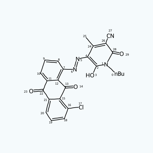 CCCCn1c(O)c(/N=N/c2cccc3c2C(=O)c2c(Cl)cccc2C3=O)c(C)c(C#N)c1=O